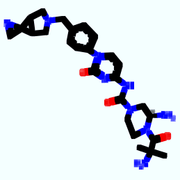 CC(C)(N)C(=O)N1CCN(C(=O)Nc2ccn(-c3ccc(CN4CC5C(C4)C54C=N4)cc3)c(=O)n2)C[C@H]1N